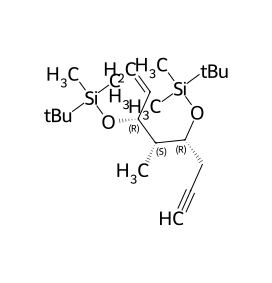 C#CC[C@@H](O[Si](C)(C)C(C)(C)C)[C@H](C)[C@@H](C=C)O[Si](C)(C)C(C)(C)C